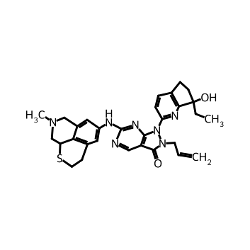 C=CCn1c(=O)c2cnc(Nc3cc4c5c(c3)CN(C)CC5SCC4)nc2n1-c1ccc2c(n1)C(O)(CC)CC2